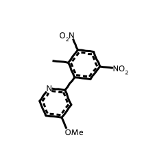 COc1ccnc(-c2cc([N+](=O)[O-])cc([N+](=O)[O-])c2C)c1